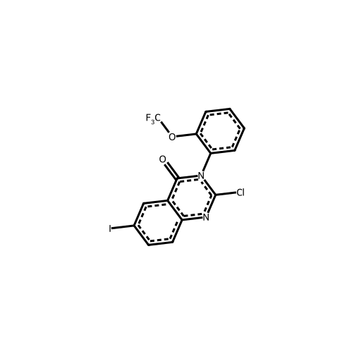 O=c1c2cc(I)ccc2nc(Cl)n1-c1ccccc1OC(F)(F)F